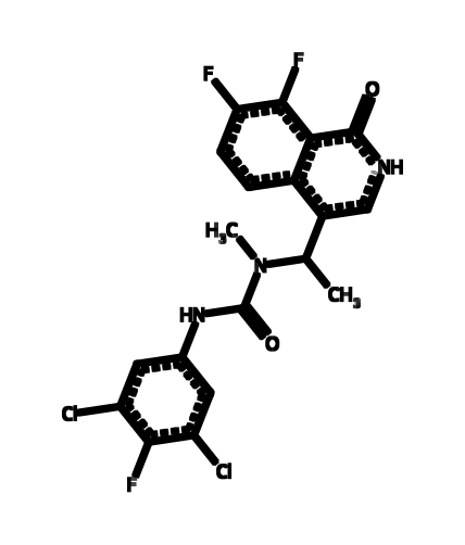 CC(c1c[nH]c(=O)c2c(F)c(F)ccc12)N(C)C(=O)Nc1cc(Cl)c(F)c(Cl)c1